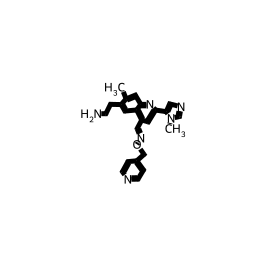 Cc1cc2nc(-c3cncn3C)cc(/C=N/OCc3ccncc3)c2cc1CCN